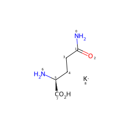 NC(=O)CC[C@H](N)C(=O)O.[K]